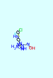 CC(=N)c1c(N)nc(-c2ccc(NSc3cc(Cl)ccc3F)cc2)nc1NCCCN(C)CCO